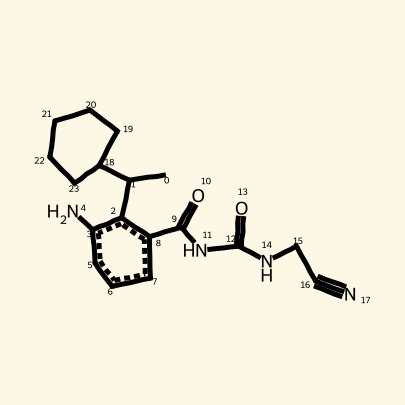 CC(c1c(N)cccc1C(=O)NC(=O)NCC#N)C1CCCCC1